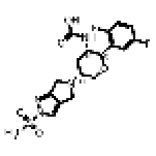 CS(=O)(=O)n1cc2c(n1)CN([C@H]1CO[C@H](c3cc(F)ccc3F)[C@@H](NC(=O)O)C1)C2